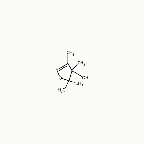 CC1=NOC(C)(C)C1(C)O